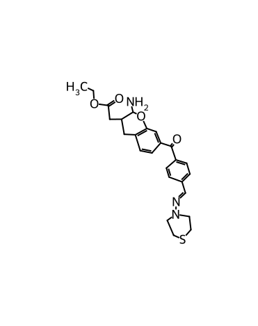 CCOC(=O)CC1Cc2ccc(C(=O)c3ccc(C=NN4CCSCC4)cc3)cc2OC1N